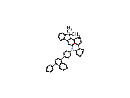 CC1(C)c2ccccc2-c2cc(N(c3ccc(-c4ccc(-c5ccccc5)c5ccccc45)cc3)c3ccccc3-c3ccccc3)ccc21